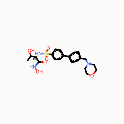 CC(O)[C@H](NS(=O)(=O)c1ccc(-c2ccc(CN3CCOCC3)cc2)cc1)C(=O)NO